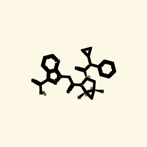 NC(=O)c1nn(CC(=O)N2[C@@H]3C[C@@H]3C[C@H]2C(=O)N(c2ccccc2)C2CC2)c2ncccc12